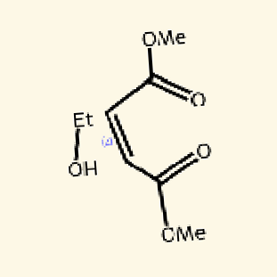 CCO.COC(=O)/C=C\C(=O)OC